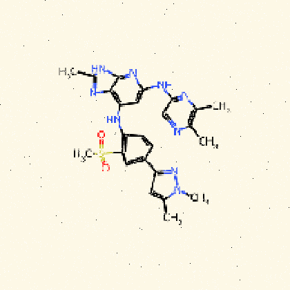 Cc1nc2c(Nc3ccc(-c4cc(C)n(C)n4)cc3S(C)(=O)=O)cc(Nc3cnc(C)c(C)n3)nc2[nH]1